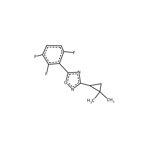 CC1(C)CC1c1noc(-c2c(F)ccc(F)c2F)n1